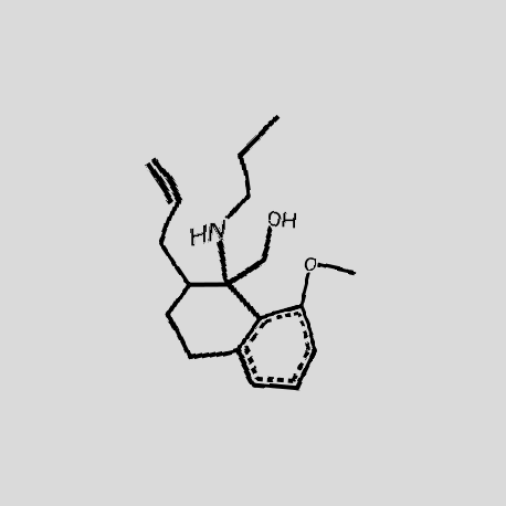 C=CCC1CCc2cccc(OC)c2C1(CO)NCCC